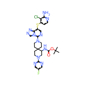 CC(C)(C)OC(=O)NC1CN(c2ncc(F)cn2)CCC12CCN(c1ncc(Sc3ccnc(N)c3Cl)c3nncn13)CC2